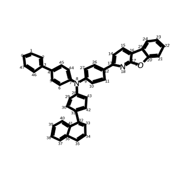 c1ccc(-c2ccc(N(c3ccc(-c4ccc5c(n4)oc4ccccc45)cc3)c3ccc(-c4cccc5ccccc45)cc3)cc2)cc1